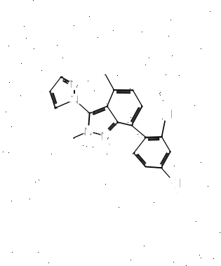 Cc1ccc(-c2ccc(Cl)cc2Cl)c2nn(C)c(-n3cccn3)c12